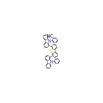 N#Cc1ccccc1-n1c2ccccc2c2cccc(-c3cccc4c3sc3c(-c5cccc6c7ccccc7n(-c7ccccc7)c56)cccc34)c21